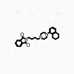 O=C1c2ccccc2C(=O)N1CCCCN1CCN(c2cccc3c2CCCC3)CC1